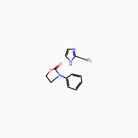 O=C1OCCN1c1ccccc1.O=[N+]([O-])c1ncc[nH]1